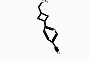 CCC1CC(c2ccc(C#N)cn2)C1